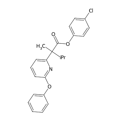 CC(C)C(C)(C(=O)Oc1ccc(Cl)cc1)c1cccc(Oc2ccccc2)n1